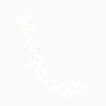 Cc1nc(-c2cc(C(=O)NCc3nc(C(C)(C)C(F)(F)F)n[nH]3)on2)ncc1-c1ccc(CN2CCN(c3cn4ncc(N5CCC(=O)NC5=O)c4cn3)CC2)cc1F